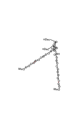 CCCCCCCCCCCCCCCC(=O)OCC(COC(=O)C(CCCCNC(=O)CCOCCOCCOCCOCCOCCOCCOCCOCCOCCOCCOCCOC)NC(=O)CCOCCOCCOCCOCCOCCOCCOCCOCCOCCOCCOCCOC)OC(=O)CCCCCCCCCCCCCCC